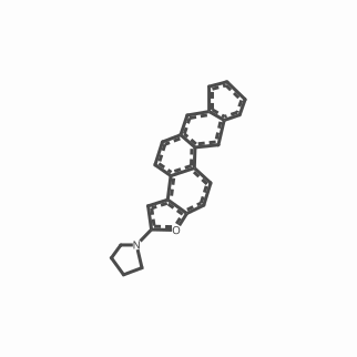 c1ccc2cc3c(ccc4c5cc(N6CCCC6)oc5ccc34)cc2c1